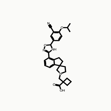 CC(C)Oc1ccc(C2NC(c3cccc4c3CCC43CCN(CC4(C(=O)O)CCC4)C3)=NO2)cc1C#N